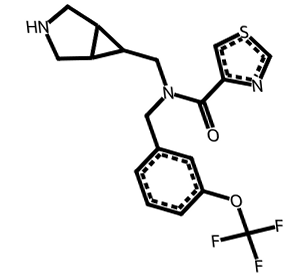 O=C(c1cscn1)N(Cc1cccc(OC(F)(F)F)c1)CC1C2CNCC21